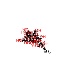 C=CCO[C@@H]1OC(CO)[C@@H](O[C@@H]2OC(CO)[C@H](O[C@H]3OC(CO)[C@H](O)[C@H](O[C@@H]4OC(CO)[C@H](O)[C@H](O[C@@H]5OC(CO)[C@H](O)[C@H](O)C5O[C@@H]5OC(C)[C@@H](O)C(O)[C@@H]5O)C4NC(C)=O)C3O)[C@H](O)C2O)[C@H](O)C1O